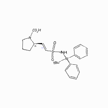 CC(C)(C)[Si](NS(=O)(=O)/C=C/[C@H]1CCCN1C(=O)O)(c1ccccc1)c1ccccc1